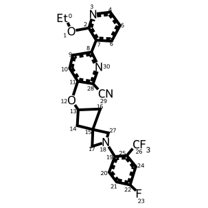 CCOc1ncccc1-c1ccc(OC2CC3(C2)CN(c2ccc(F)cc2C(F)(F)F)C3)c(C#N)n1